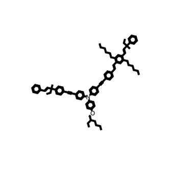 CCCCCCc1cc(C=CC(C)(CC)c2ccccc2)c(CCCCCC)cc1C=Cc1ccc(C#Cc2ccc(N(c3ccc(C#Cc4ccc(C(C)(C=Cc5ccccc5)CC)cc4)cc3)c3ccc(OCC(CC)CCCC)cc3)cc2)cc1